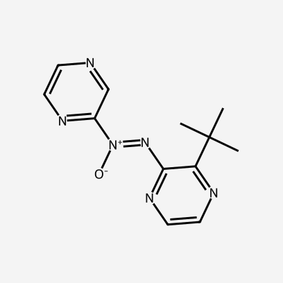 CC(C)(C)c1nccnc1N=[N+]([O-])c1cnccn1